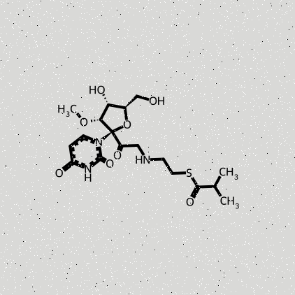 CO[C@@H]1[C@H](O)[C@@H](CO)O[C@@]1(C(=O)CNCCSC(=O)C(C)C)n1ccc(=O)[nH]c1=O